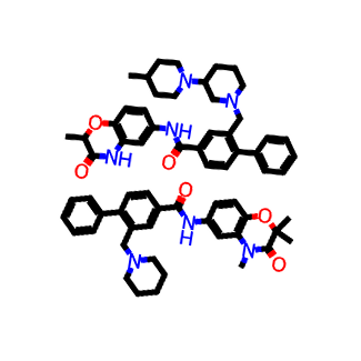 CC1CCN(C2CCCN(Cc3cc(C(=O)Nc4ccc5c(c4)NC(=O)C(C)O5)ccc3-c3ccccc3)C2)CC1.CN1C(=O)C(C)(C)Oc2ccc(NC(=O)c3ccc(-c4ccccc4)c(CN4CCCCC4)c3)cc21